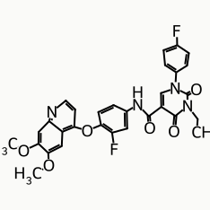 CCn1c(=O)c(C(=O)Nc2ccc(Oc3ccnc4cc(OC)c(OC)cc34)c(F)c2)cn(-c2ccc(F)cc2)c1=O